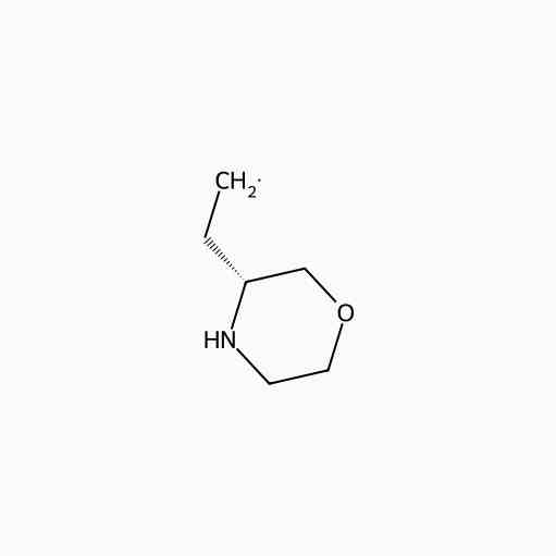 [CH2]C[C@@H]1COCCN1